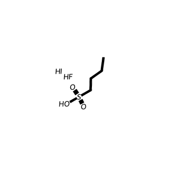 CCCCS(=O)(=O)O.F.I